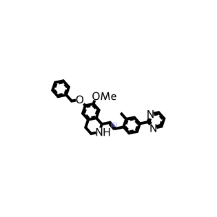 COc1cc2c(cc1OCc1ccccc1)CCNC2/C=C/c1ccc(-c2ncccn2)cc1C